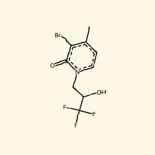 Cc1ccn(CC(O)C(F)(F)F)c(=O)c1Br